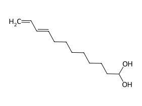 C=CC=CCCCCCCCC(O)O